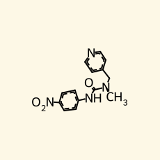 CN(Cc1ccncc1)C(=O)Nc1ccc([N+](=O)[O-])cc1